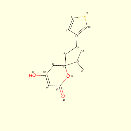 CC(C)C1(CCc2ccsc2)CC(O)=CC(=O)O1